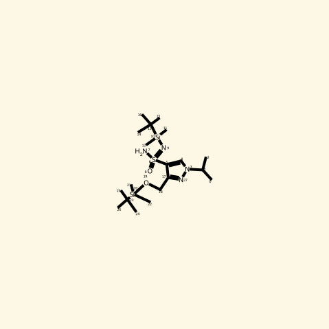 CC(C)n1cc(S(N)(=O)=N[Si](C)(C)C(C)(C)C)c(CO[Si](C)(C)C(C)(C)C)n1